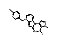 Cn1ncc(-n2c3cccn(Cc4ccc(Cl)nc4)c-3nc2=O)c1C(F)F